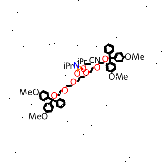 COc1ccc(C(OCCOCCOCC(COCCOCCOC(c2ccccc2)(c2ccc(OC)cc2)c2ccc(OC)cc2)OP(OCCC#N)N(C(C)C)C(C)C)(c2ccccc2)c2ccc(OC)cc2)cc1